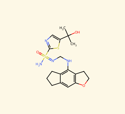 CC(C)(O)c1cnc(S(N)(=O)=NCNc2c3c(cc4c2CCO4)CCC3)s1